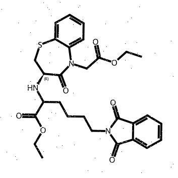 CCOC(=O)CN1C(=O)[C@@H](NC(CCCCN2C(=O)c3ccccc3C2=O)C(=O)OCC)CSc2ccccc21